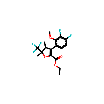 CCOC(=O)C1=C(c2ccc(F)c(F)c2OC)C(C)C(C)(C(F)(F)F)O1